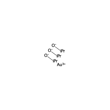 CC(C)[O-].CC(C)[O-].CC(C)[O-].[Au+3]